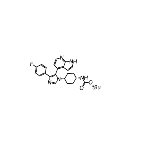 CC(C)(C)OC(=O)N[C@H]1CC[C@@H](n2cnc(-c3ccc(F)cc3)c2-c2ccnc3[nH]ccc23)CC1